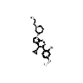 COc1ccc(-c2nnc3c(ccn3[C@@H]3CCCN(CCO)C3)c2C2CC2)c(O)c1